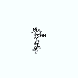 Cc1nnn2c1-c1ccc(C3=CCN(C(=O)OC(C)(C)C)CC3)cc1C(O)CC2